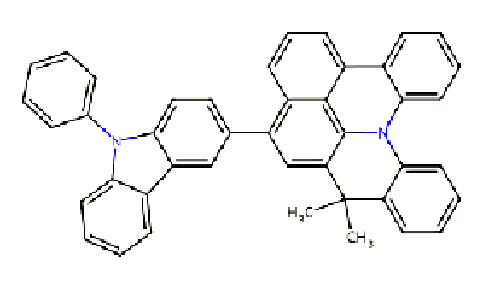 CC1(C)c2ccccc2N2c3ccccc3-c3cccc4c(-c5ccc6c(c5)c5ccccc5n6-c5ccccc5)cc1c2c34